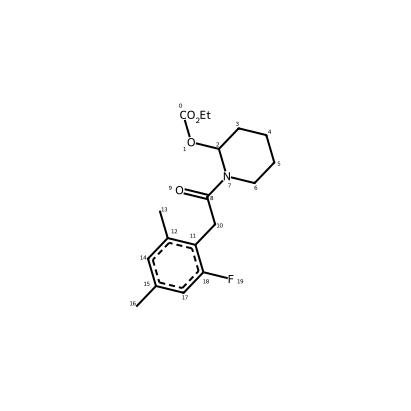 CCOC(=O)OC1CCCCN1C(=O)Cc1c(C)cc(C)cc1F